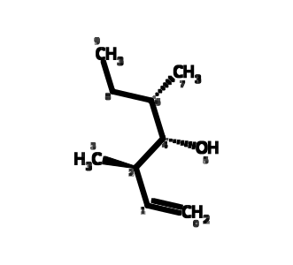 C=C[C@@H](C)[C@@H](O)[C@@H](C)CC